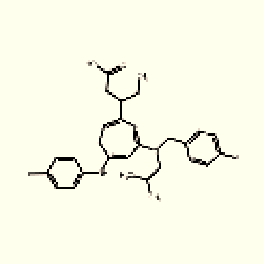 CCC(CC(=O)O)C1=CCC(Nc2ccc(Cl)cc2)=CC(N(Cc2ccc(F)cc2)CC(C)C)=N1